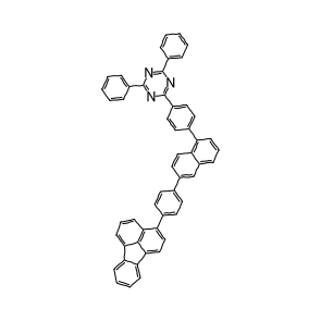 c1ccc(-c2nc(-c3ccccc3)nc(-c3ccc(-c4cccc5cc(-c6ccc(-c7ccc8c9c(cccc79)-c7ccccc7-8)cc6)ccc45)cc3)n2)cc1